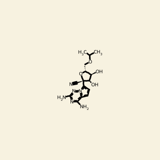 CC(C)OC[C@H]1O[C@@](C#N)(c2ccc3c(N)nc(N)nn23)[C@H](O)[C@@H]1O